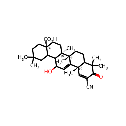 CC1(C)CC[C@]2(C(=O)O)CC[C@]3(C)C(C(O)C=C4[C@@]5(C)C=C(C#N)C(=O)C(C)(C)C5CC[C@]43C)C2C1